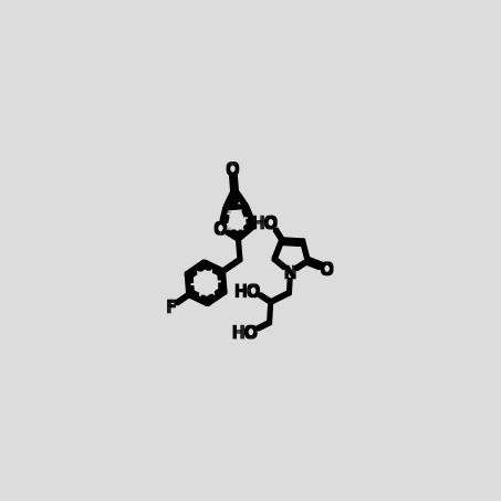 O=C1C=C(O)CN1CC(O)CO.O=c1c2cc(Cc3ccc(F)cc3)oc12